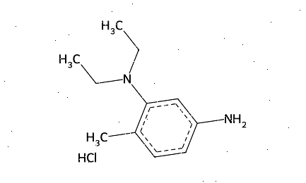 CCN(CC)c1cc(N)ccc1C.Cl